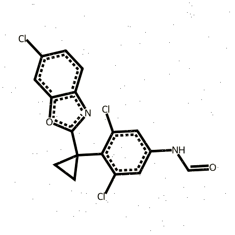 O=CNc1cc(Cl)c(C2(c3nc4ccc(Cl)cc4o3)CC2)c(Cl)c1